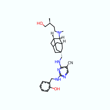 C[C@H](CO)CCN(C)[C@@H]1[C@@H]2CC3C[C@H]1C[C@](CNc1nc(NCc4ccccc4O)ncc1C#N)(C3)C2